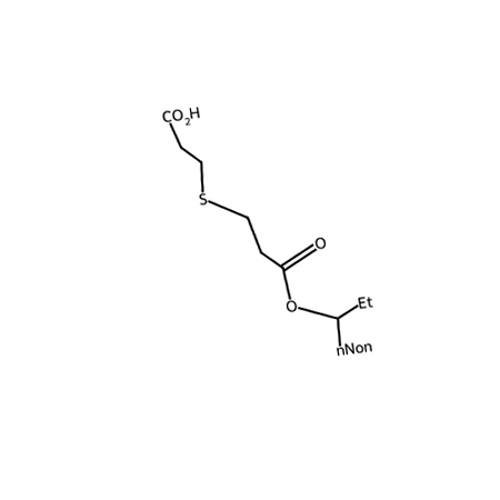 CCCCCCCCCC(CC)OC(=O)CCSCCC(=O)O